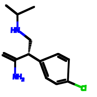 C=C(N)[C@H](CNC(C)C)c1ccc(Cl)cc1